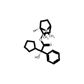 C[N+]1(C)C2CC[C@@H]1[C@H](OC(=O)[C@@](O)(c1ccccc1)C1CCCC1)C2